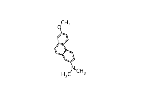 COc1ccc2c(ccc3cc(N(C)C)ccc32)c1